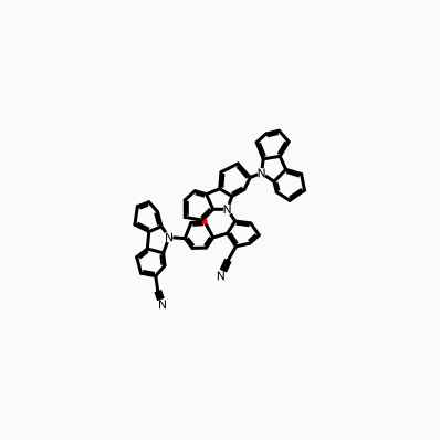 N#Cc1ccc2c3ccccc3n(-c3ccc(-c4c(C#N)cccc4-n4c5ccccc5c5ccc(-n6c7ccccc7c7ccccc76)cc54)cc3)c2c1